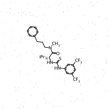 CC(C)[C@@H](NC(=S)Nc1cc(C(F)(F)F)cc(C(F)(F)F)c1)C(=O)N(C)CCCc1ccccc1